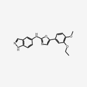 CCOc1cc(-c2cnc(Nc3ccc4[nH]ncc4c3)o2)ccc1OC